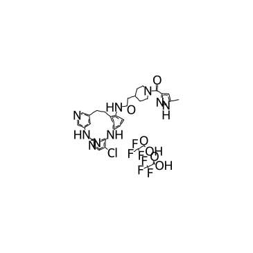 Cc1cc(C(=O)N2CCC(CC(=O)Nc3ccc4cc3CCc3cncc(c3)Nc3ncc(Cl)c(n3)N4)CC2)n[nH]1.O=C(O)C(F)(F)F.O=C(O)C(F)(F)F